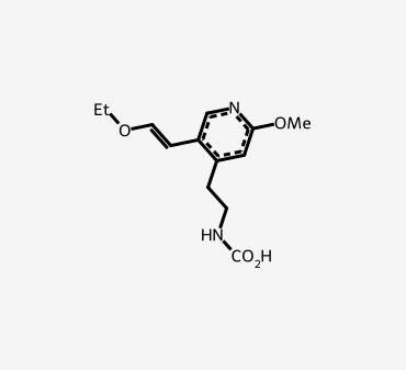 CCOC=Cc1cnc(OC)cc1CCNC(=O)O